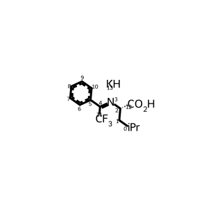 CC(C)C[C@H](N=C(c1ccccc1)C(F)(F)F)C(=O)O.[KH]